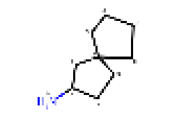 NC1CCC2(CCCC2)C1